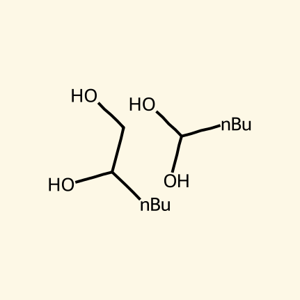 CCCCC(O)CO.CCCCC(O)O